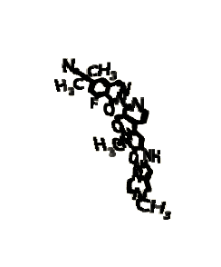 CN1CCn2nc(Nc3cc(-c4ccnc(-n5ncc6cc(C(C)(C)C#N)cc(F)c6c5=O)c4C=O)nn(C)c3=O)cc2C1